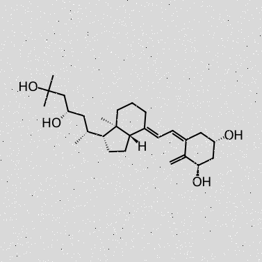 C=C1/C(=C\C=C2/CCC[C@]3(C)[C@@H]([C@H](C)C[C@H](O)CC(C)(C)O)CC[C@@H]23)C[C@H](O)C[C@H]1O